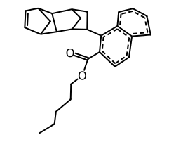 CCCCCOC(=O)c1ccc2ccccc2c1C1CC2CC1C1C3C=CC(C3)C21